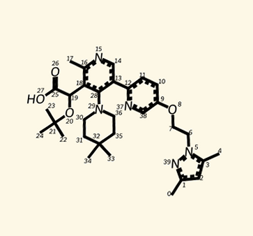 Cc1cc(C)n(CCOc2ccc(-c3cnc(C)c(C(OC(C)(C)C)C(=O)O)c3N3CCC(C)(C)CC3)nc2)n1